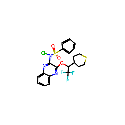 O=S(=O)(c1ccccc1)N(Cl)c1nc2ccccc2nc1OC(C1CCSCC1)C(F)(F)F